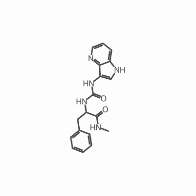 CNC(=O)C(Cc1ccccc1)NC(=O)Nc1c[nH]c2cccnc12